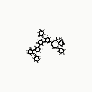 CC1/C=C(c2ccc3c(c2)c2cc(-c4ccc5c(c4)c4ccccc4n5-c4ccccc4)ccc2n3-c2ccccc2)\C=C/CN(c2ccccc2)c2ccccc21